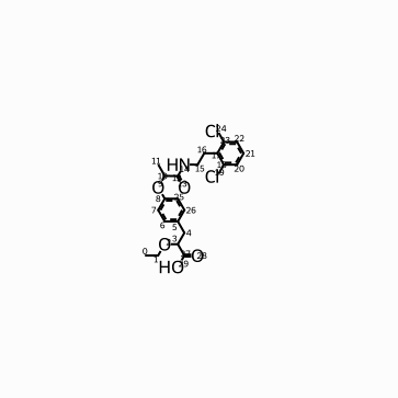 CCOC(Cc1ccc(OC(C)C(=O)NCCc2c(Cl)cccc2Cl)cc1)C(=O)O